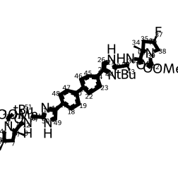 COC(=O)N1C[C@H](C)C[C@@]1(C)C(=O)N[C@H](c1nc(-c2ccc(-c3ccc(-c4c[nH]c([C@@H](NC(=O)[C@]5(C)C[C@@H](F)CN5C(=O)OC)C(C)(C)C)n4)cc3)cc2)c[nH]1)C(C)(C)C